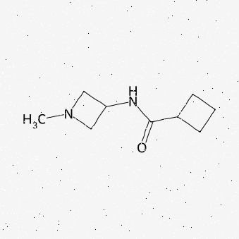 CN1CC(NC(=O)C2CCC2)C1